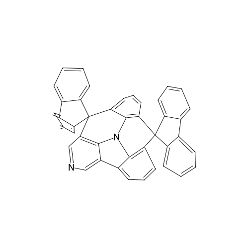 c1ccc2c(c1)-c1ccccc1C21c2cccc3c2-n2c4c1cccc4c1cncc(c12)C31c2ccccc2-c2ccccc21